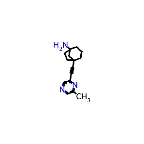 Cc1cncc(C#CC23CCCC(N)(CC2)C3)n1